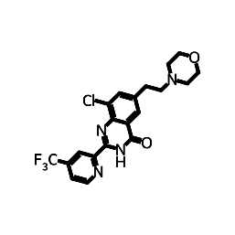 O=c1[nH]c(-c2cc(C(F)(F)F)ccn2)nc2c(Cl)cc(CCN3CCOCC3)cc12